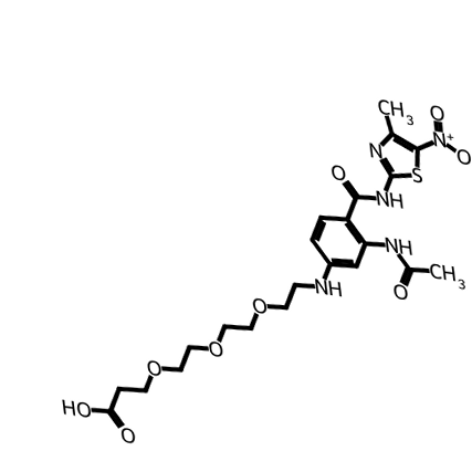 CC(=O)Nc1cc(NCCOCCOCCOCCC(=O)O)ccc1C(=O)Nc1nc(C)c([N+](=O)[O-])s1